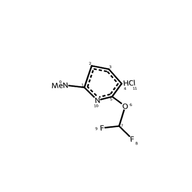 CNc1cccc(OC(F)F)n1.Cl